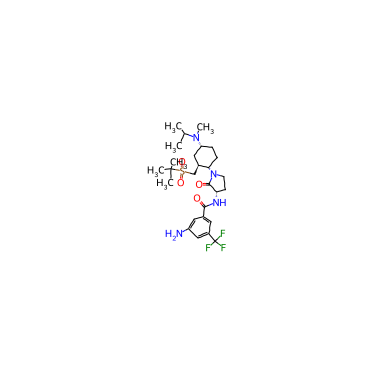 CC(C)N(C)[C@@H]1CC[C@H](N2CC[C@H](NC(=O)c3cc(N)cc(C(F)(F)F)c3)C2=O)[C@@H](CS(=O)(=O)C(C)(C)C)C1